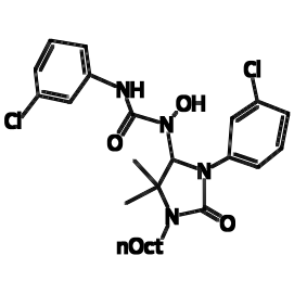 CCCCCCCCN1C(=O)N(c2cccc(Cl)c2)C(N(O)C(=O)Nc2cccc(Cl)c2)C1(C)C